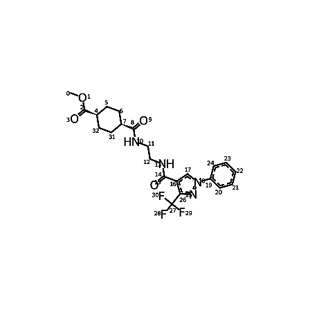 COC(=O)[C@H]1CC[C@@H](C(=O)NCCNC(=O)c2cn(-c3ccccc3)nc2C(F)(F)F)CC1